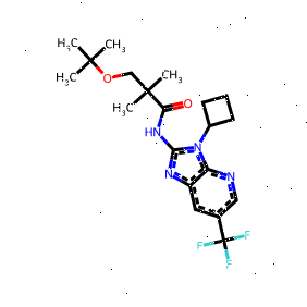 CC(C)(C)OCC(C)(C)C(=O)Nc1nc2cc(C(F)(F)F)cnc2n1C1CCC1